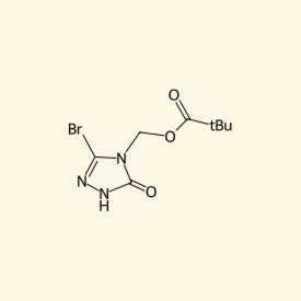 CC(C)(C)C(=O)OCn1c(Br)n[nH]c1=O